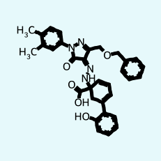 Cc1ccc(N2N=C(COCc3ccccc3)C(=NNC3(C(=O)O)C=CC=C(c4ccccc4O)C3)C2=O)cc1C